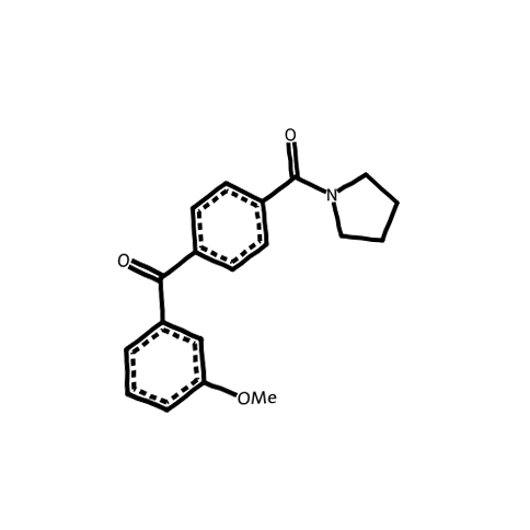 COc1cccc(C(=O)c2ccc(C(=O)N3CCCC3)cc2)c1